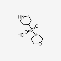 Cl.O=S(=O)(C1CCNCC1)N1CCOCC1